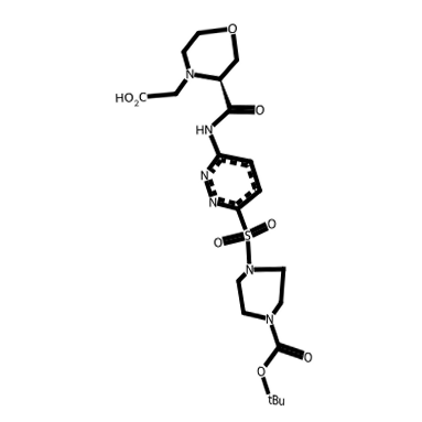 CC(C)(C)OC(=O)N1CCN(S(=O)(=O)c2ccc(NC(=O)[C@@H]3COCCN3CC(=O)O)nn2)CC1